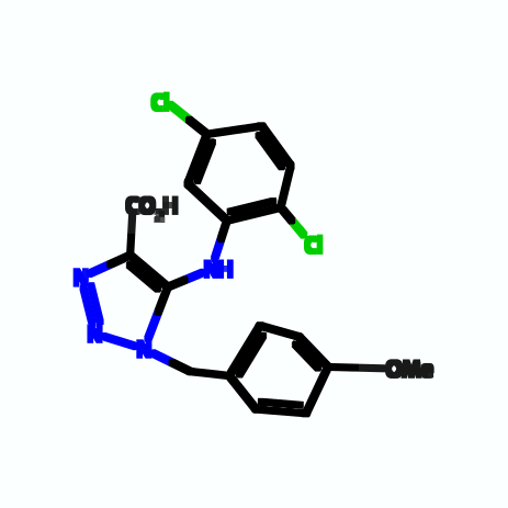 COc1ccc(Cn2nnc(C(=O)O)c2Nc2cc(Cl)ccc2Cl)cc1